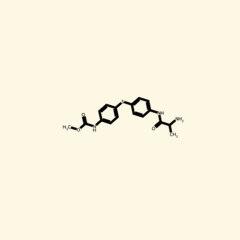 COC(=O)Nc1ccc(Sc2ccc(NC(=O)C(C)N)cc2)cc1